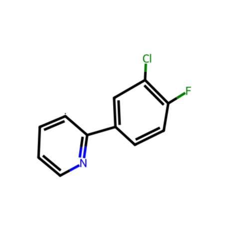 Fc1ccc(-c2[c]cccn2)cc1Cl